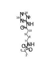 CC(C)S(=O)(=O)NCCCCC(=O)Nc1ncncn1